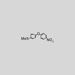 CSc1ccc(Oc2ccc([N+](=O)[O-])cc2)cc1